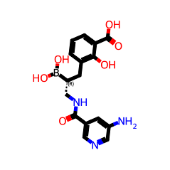 Nc1cncc(C(=O)NC[C@@H](Cc2cccc(C(=O)O)c2O)B(O)O)c1